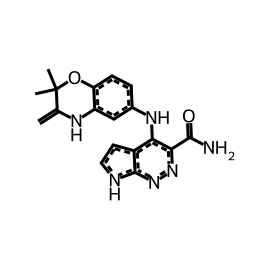 C=C1Nc2cc(Nc3c(C(N)=O)nnc4[nH]ccc34)ccc2OC1(C)C